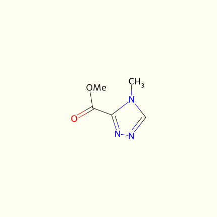 COC(=O)c1nncn1C